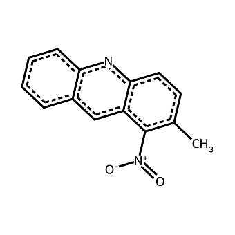 Cc1ccc2nc3ccccc3cc2c1[N+](=O)[O-]